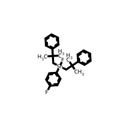 CC(C)([CH2][Sn]([F])([CH2]C(C)(C)c1ccccc1)[c]1ccc(F)cc1)c1ccccc1